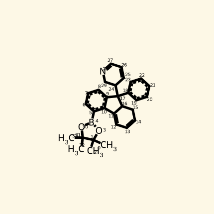 CC1(C)OB(c2cccc3c2C2=CC=CCC2C3(c2ccccc2)C2C=CC=NC2)OC1(C)C